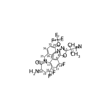 CC(C)(C#N)c1nnc(-c2cc3c(cc2F)C(F)(F)CC(N)C(=O)N3Cc2ccc(OC(F)(F)F)cc2)o1